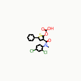 CN(C(=O)c1cc(-c2ccccc2)sc1OC(=O)O)c1ccc(Cl)cc1Cl